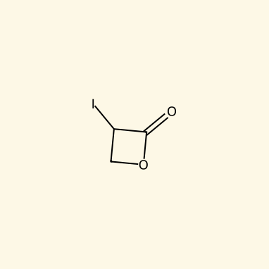 O=C1OCC1I